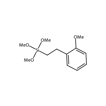 COc1ccccc1CC[Si](OC)(OC)OC